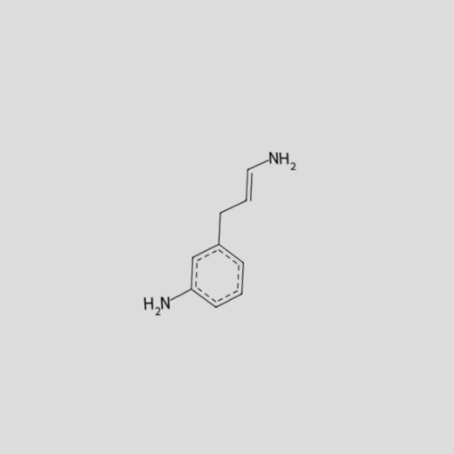 NC=CCc1cccc(N)c1